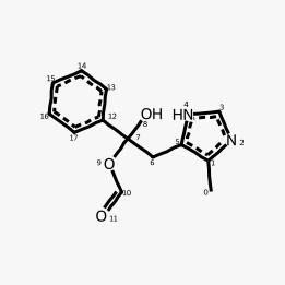 Cc1nc[nH]c1CC(O)(OC=O)c1ccccc1